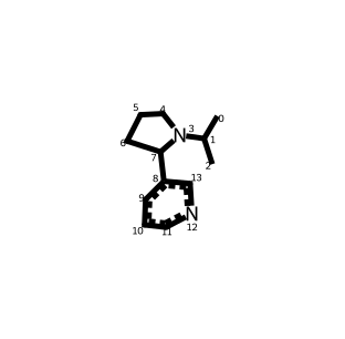 CC(C)N1CCCC1c1cccnc1